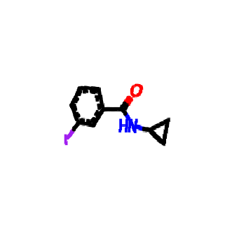 O=C(NC1CC1)c1cccc(I)c1